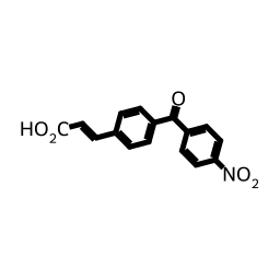 O=C(O)C=Cc1ccc(C(=O)c2ccc([N+](=O)[O-])cc2)cc1